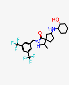 CC(C)C1(C(=O)NCc2cc(C(F)(F)F)cc(C(F)(F)F)c2)CCC(NC2CCCC[C@H]2O)C1